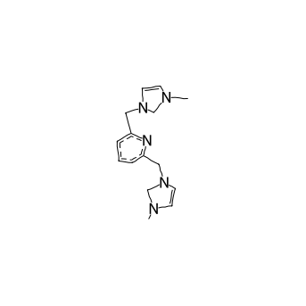 CN1C=CN(Cc2cccc(CN3C=CN(C)C3)n2)C1